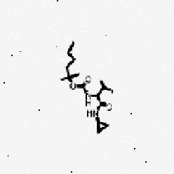 CCCCC(C)(C)OC(=O)NC(C(=O)NC1CC1)C(C)C